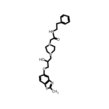 Cc1nc2cc(OCC(O)CN3CCN(CC(=O)NCCc4ccccc4)CC3)ccc2s1